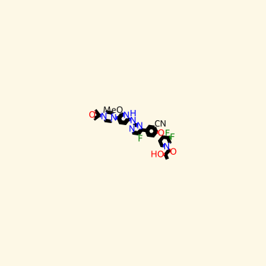 COc1nc(Nc2ncc(F)c(-c3ccc(O[C@H]4CCN(C(=O)C(C)O)CC4(F)F)c(C#N)c3)n2)ccc1N1CCN(C2COC2)CC1